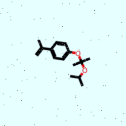 C=C(C)c1ccc(OC(C)(C)OC(C)C)cc1